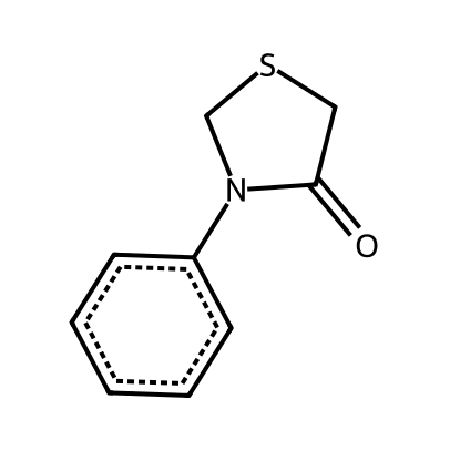 O=C1CSCN1c1ccccc1